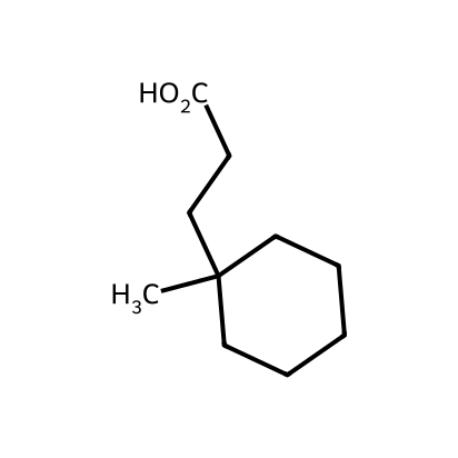 CC1(CCC(=O)O)CCCCC1